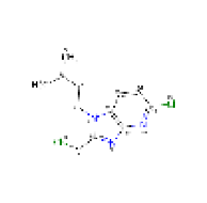 CC(C)CCn1c(CCl)nc2nc(Cl)ccc21